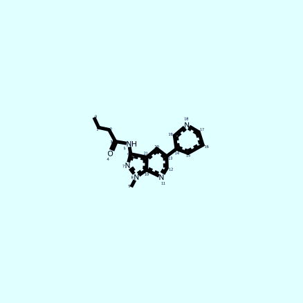 CCCC(=O)Nc1nn(C)c2ncc(-c3cccnc3)cc12